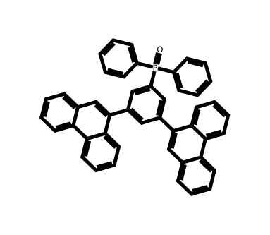 O=P(c1ccccc1)(c1ccccc1)c1cc(-c2cc3ccccc3c3ccccc23)cc(-c2cc3ccccc3c3ccccc23)c1